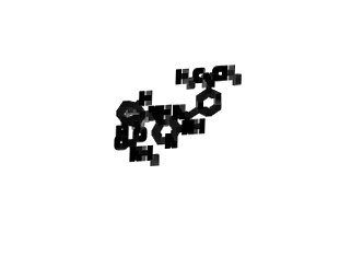 CN(C)c1cccc(-c2nc3c(N[C@H]4[C@@H](OC(N)=O)[C@@H]5C=C[C@H]4C5)ccnc3[nH]2)c1